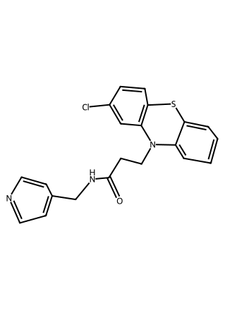 O=C(CCN1c2ccccc2Sc2ccc(Cl)cc21)NCc1ccncc1